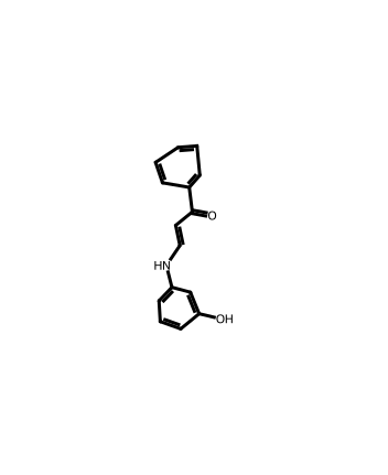 O=C(C=CNc1cccc(O)c1)c1ccccc1